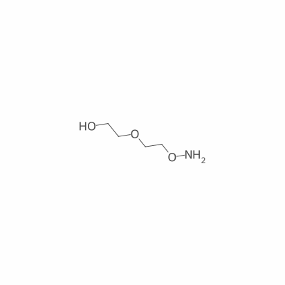 NOCCOCCO